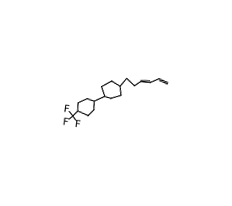 C=C/C=C/CCC1CCC(C2CCC(C(F)(F)F)CC2)CC1